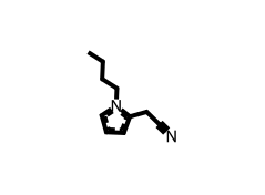 CCCCn1cccc1CC#N